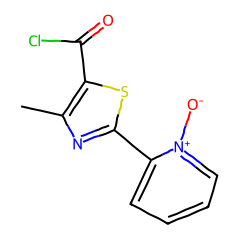 Cc1nc(-c2cccc[n+]2[O-])sc1C(=O)Cl